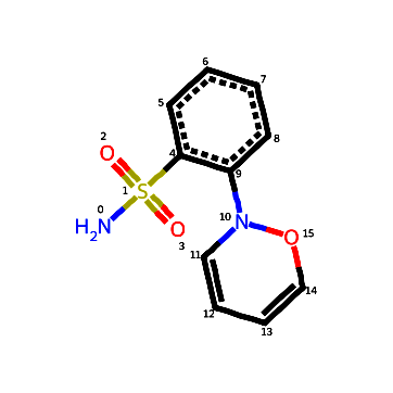 NS(=O)(=O)c1ccccc1N1C=CC=CO1